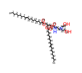 CCCCCCCCC=CCCCCCCCC(=O)OCC(COC(=O)NCCN(CCO)CCO)OC(=O)CCCCCCCC=CCCCCCCCC